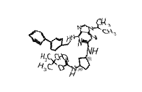 CC(C)n1cnc2c(NCc3ccc(-c4ccccc4)cc3)nc(N[C@H]3CC[C@@H](NC(=O)OC(C)(C)C)C3)nc21